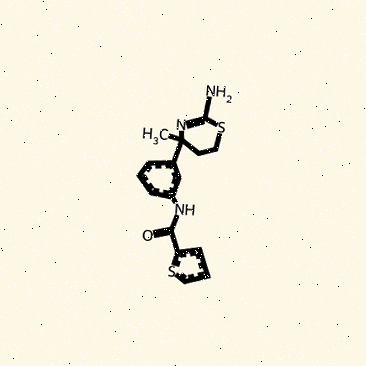 CC1(c2cccc(NC(=O)c3cccs3)c2)CCSC(N)=N1